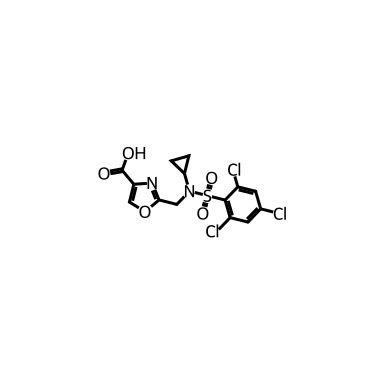 O=C(O)c1coc(CN(C2CC2)S(=O)(=O)c2c(Cl)cc(Cl)cc2Cl)n1